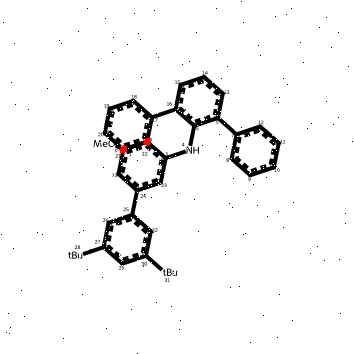 COc1cc(Nc2c(-c3ccccc3)cccc2-c2ccccc2)cc(-c2cc(C(C)(C)C)cc(C(C)(C)C)c2)c1